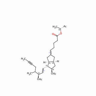 CC#CCC(C)[C@@H](/C=C/[C@@H]1[C@H]2C/C(=C/CCCC(=O)O[C@H](C)C(C)=O)C[C@H]2C[C@H]1OC(C)=O)OC(C)=O